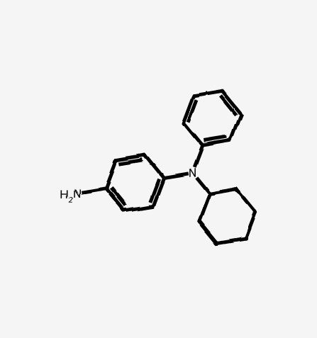 Nc1ccc(N(c2ccccc2)C2CCCCC2)cc1